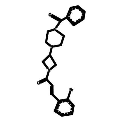 O=C(C=Cc1ccccc1Br)N1CC(N2CCN(C(=O)c3ccccc3)CC2)C1